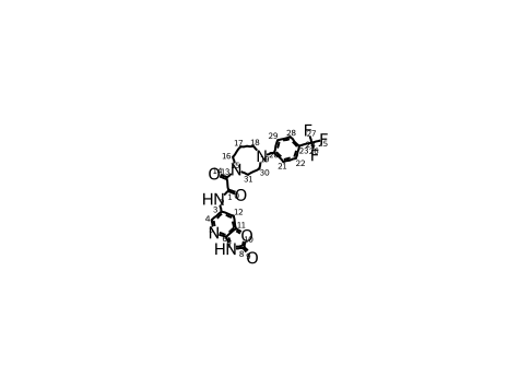 O=C(Nc1cnc2[nH]c(=O)oc2c1)C(=O)N1CCCN(c2ccc(C(F)(F)F)cc2)CC1